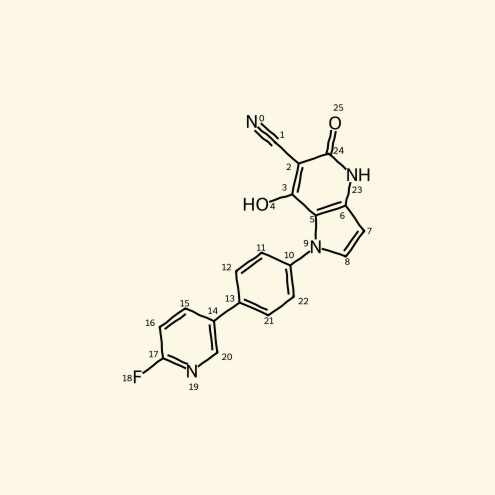 N#Cc1c(O)c2c(ccn2-c2ccc(-c3ccc(F)nc3)cc2)[nH]c1=O